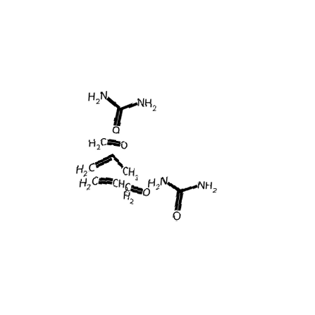 C=C.C=CC.C=O.C=O.NC(N)=O.NC(N)=O